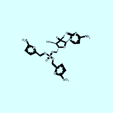 Nc1ccn([C@@H]2O[C@H](COP(=O)(OCc3ccc([N+](=O)[O-])o3)OCc3ccc([N+](=O)[O-])o3)[C@@H](O)C2(F)F)c(=O)n1